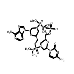 COP(=O)(N(C)C)N1C[C@@H](COP(=O)(N(C)C)N2C[C@@H](COP(=O)(C(C)C)C(C)C)O[C@@H](n3ccc(N)nc3=O)C2)O[C@@H](n2cnc3c(N)ncnc32)C1